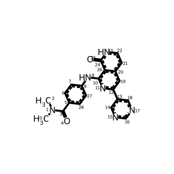 CN(C)C(=O)c1ccc(Nc2nc(-c3cncnc3)cc3cc[nH]c(=O)c23)cc1